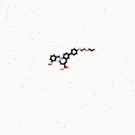 CCCOCCOc1ccc(-c2ccc3c(c2)C=C(C(=O)O)CCN3Cc2cccc(OC)c2)cc1